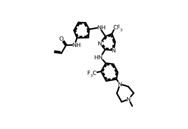 C=CC(=O)Nc1cccc(Nc2nc(Nc3ccc(N4CCN(C)CC4)cc3C(F)(F)F)ncc2C(F)(F)F)c1